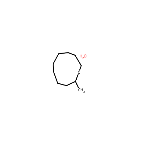 CC1CCCCCCCCC1.O